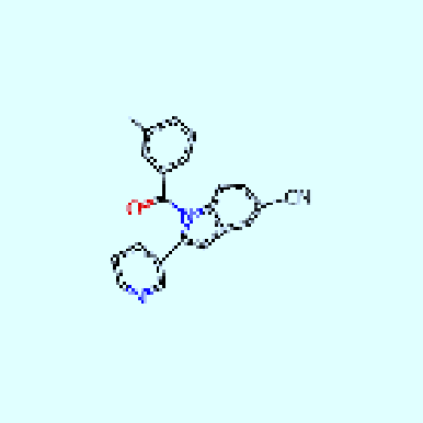 Cc1cccc(C(=O)n2c(-c3cccnc3)cc3cc(C#N)ccc32)c1